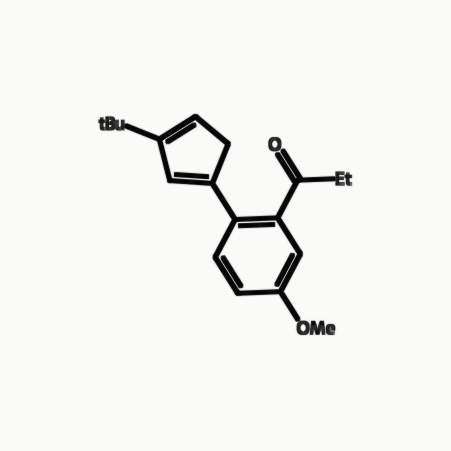 CCC(=O)c1cc(OC)ccc1C1=CC(C(C)(C)C)=CC1